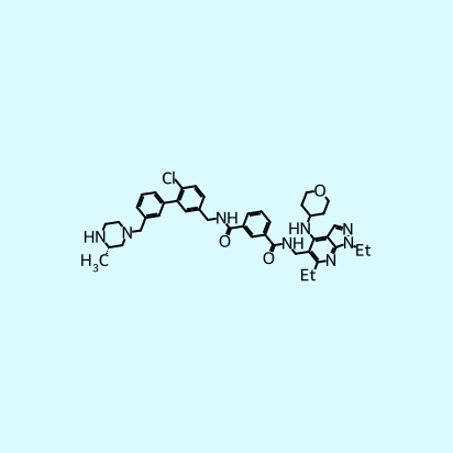 CCc1nc2c(cnn2CC)c(NC2CCOCC2)c1CNC(=O)c1cccc(C(=O)NCc2ccc(Cl)c(-c3cccc(CN4CCN[C@@H](C)C4)c3)c2)c1